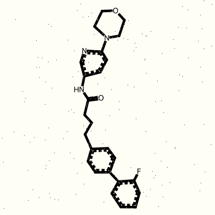 O=C(CCCc1ccc(-c2ccccc2F)cc1)Nc1ccc(N2CCOCC2)nc1